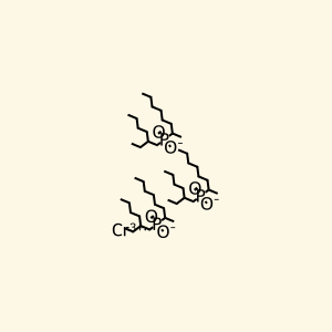 CCCCCCC(C)P(=O)([O-])CC(CC)CCCC.CCCCCCC(C)P(=O)([O-])CC(CC)CCCC.CCCCCCC(C)P(=O)([O-])CC(CC)CCCC.[Cr+3]